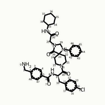 NCc1ccc(C(=O)N[C@H](Cc2ccc(Cl)cc2)C(=O)N2CCC3(CC2)C(=O)N(CC(=O)NC2CCCCC2)CN3c2ccccc2)cc1